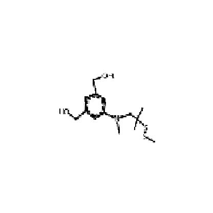 CSSC(C)(C)CN(C)c1cc(CO)cc(CO)c1